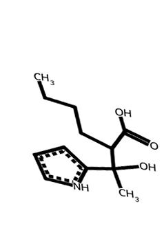 CCCCC(C(=O)O)C(C)(O)c1ccc[nH]1